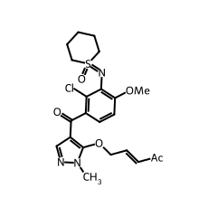 COc1ccc(C(=O)c2cnn(C)c2OC/C=C/C(C)=O)c(Cl)c1N=S1(=O)CCCCC1